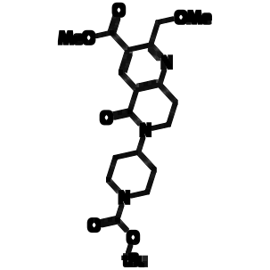 COCc1nc2c(cc1C(=O)OC)C(=O)N(C1CCN(C(=O)OC(C)(C)C)CC1)CC2